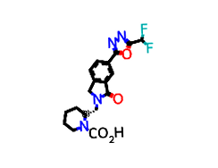 O=C1c2cc(-c3nnc(C(F)F)o3)ccc2CN1C[C@H]1CCCCN1C(=O)O